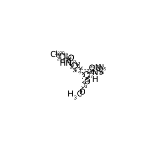 COCCCOc1cc(CCc2ccc(NC(=O)c3ccc(Cl)cc3)cc2)cc(C(=O)Nc2nccs2)c1